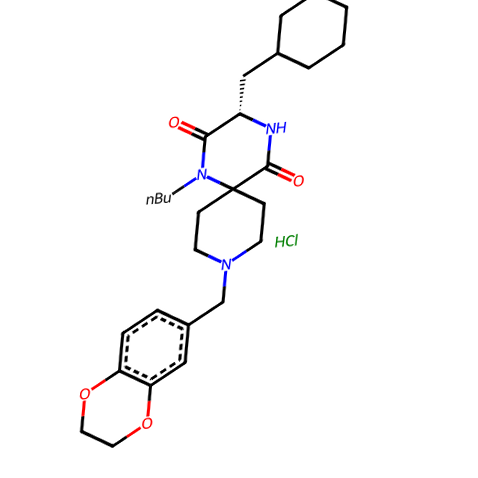 CCCCN1C(=O)[C@H](CC2CCCCC2)NC(=O)C12CCN(Cc1ccc3c(c1)OCCO3)CC2.Cl